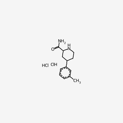 Cc1cccc(C2CCNC(C(N)=O)C2)c1.Cl.Cl